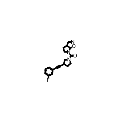 O=C(N1CCC(C#Cc2cccc(F)c2)C1)N1CCC2C=NOC21